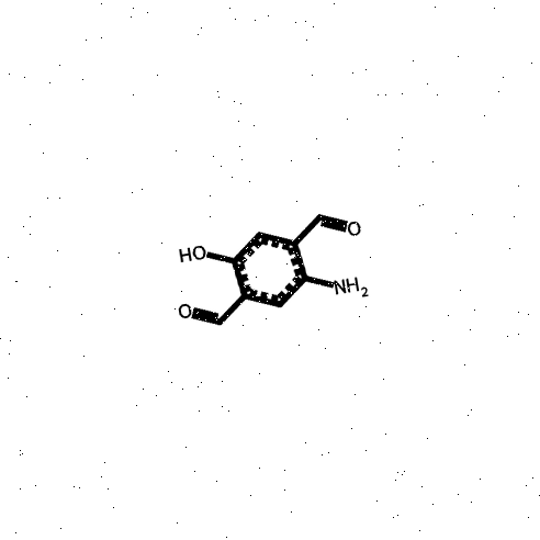 Nc1cc(C=O)c(O)cc1C=O